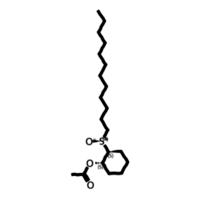 CCCCCCCCCCCC[S@+]([O-])[C@H]1CCCC[C@@H]1OC(C)=O